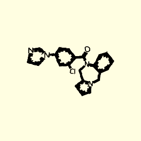 O=C(c1ccc(-n2ccnc2)cc1Cl)N1Cc2cccn2Cc2ccccc21